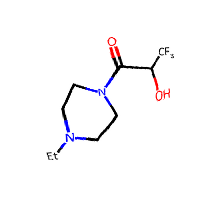 CCN1CCN(C(=O)C(O)C(F)(F)F)CC1